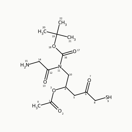 CC(=O)OC(CC(=O)CS)CN(C(=O)CN)C(=O)OC(C)(C)C